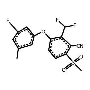 Cc1cc(F)cc(Oc2ccc(S(C)(=O)=O)c(C#N)c2C(F)F)c1